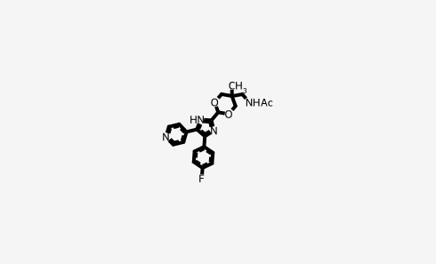 CC(=O)NCC1(C)COC(c2nc(-c3ccc(F)cc3)c(-c3ccncc3)[nH]2)OC1